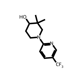 CC1(C)CN(c2ccc(C(F)(F)F)cn2)CCC1O